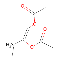 C[SiH2]C(=COC(C)=O)OC(C)=O